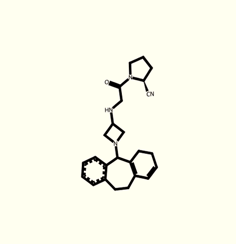 N#C[C@@H]1CCCN1C(=O)CNC1CN(C2C3=C(C=CCC3)CCc3ccccc32)C1